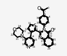 CC(=O)c1ccc(-n2c(-c3sccc3-c3ccncc3N3CCOCC3)nc3ccccc3c2=O)cc1